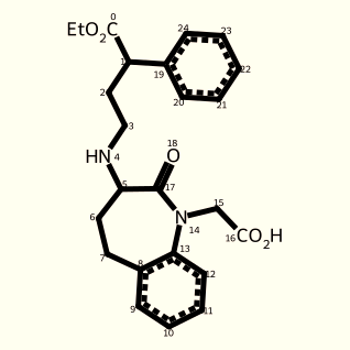 CCOC(=O)C(CCNC1CCc2ccccc2N(CC(=O)O)C1=O)c1ccccc1